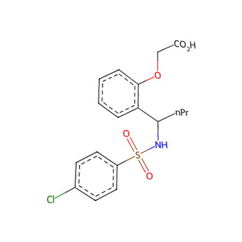 CCCC(NS(=O)(=O)c1ccc(Cl)cc1)c1ccccc1OCC(=O)O